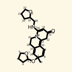 CC1(OC2CCCO2)C=CC2=C3CC(=O)C=C(NCC4CCCO4)N3CCC2=C1